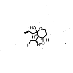 C=CCC1(O)OCC[C@H]2ON=C(CF)[C@H]21